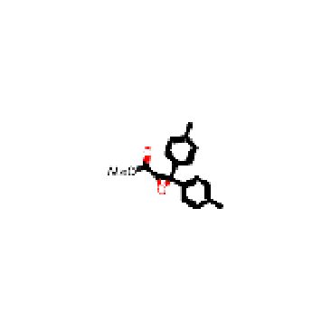 COC(=O)C1OC1(c1ccc(C)cc1)c1ccc(C)cc1